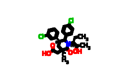 CC[C@@H]([C@@H](C)O)N1C(=O)[C@@](C)(CC(=O)O)C[C@H](c2cccc(Cl)c2)C1c1ccc(Cl)cc1